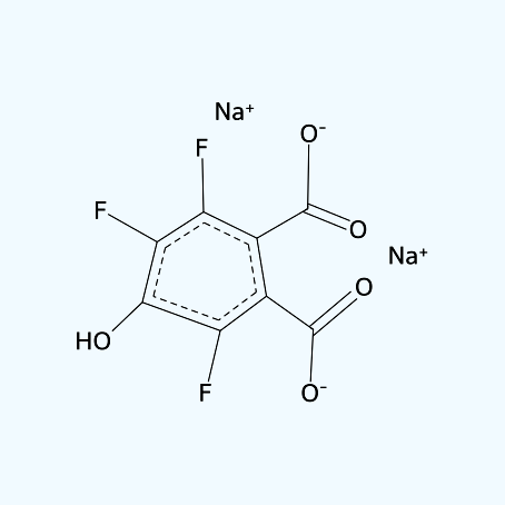 O=C([O-])c1c(F)c(O)c(F)c(F)c1C(=O)[O-].[Na+].[Na+]